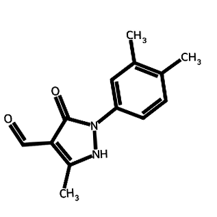 Cc1ccc(-n2[nH]c(C)c(C=O)c2=O)cc1C